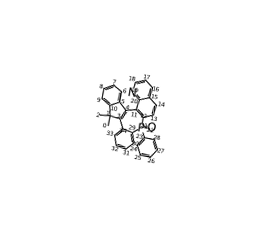 CC1(C)C2=C(c3ccccc31)c1c(ccc3cccnc13)P(=O)(c1ccccc1)c1ccccc12